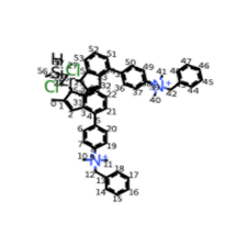 CC1=Cc2c(-c3ccc([N+](C)(C)Cc4ccccc4)cc3)cccc2[CH]1[Zr]([Cl])([Cl])([CH]1C(C)=Cc2c(-c3ccc([N+](C)(C)Cc4ccccc4)cc3)cccc21)[SiH](C)C